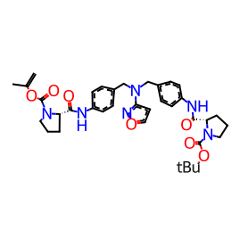 C=C(C)OC(=O)N1CCC[C@H]1C(=O)Nc1ccc(CN(Cc2ccc(NC(=O)[C@@H]3CCCN3C(=O)OC(C)(C)C)cc2)c2ccon2)cc1